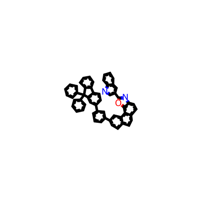 c1ccc(C2(c3ccccc3)c3ccccc3-c3ccc(-c4cccc(-c5ccc6ccc7ccc8nc(-c9cnc%10ccccc%10c9)oc8c7c6c5)c4)cc32)cc1